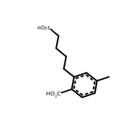 CCCCCCCCCCCCc1cc(C)ccc1C(=O)O